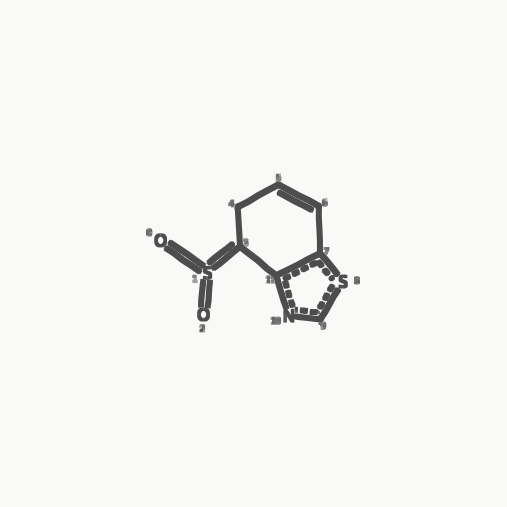 O=S(=O)=C1CC=Cc2s[c]nc21